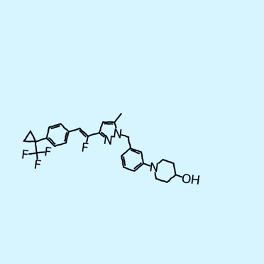 Cc1cc(C(F)=Cc2ccc(C3(C(F)(F)F)CC3)cc2)nn1Cc1cccc(N2CCC(O)CC2)c1